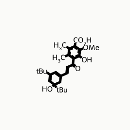 COc1c(O)c(C(=O)C=CC2=CC(C(C)(C)C)=CC(O)(C(C)(C)C)C2)c(C)c(C)c1C(=O)O